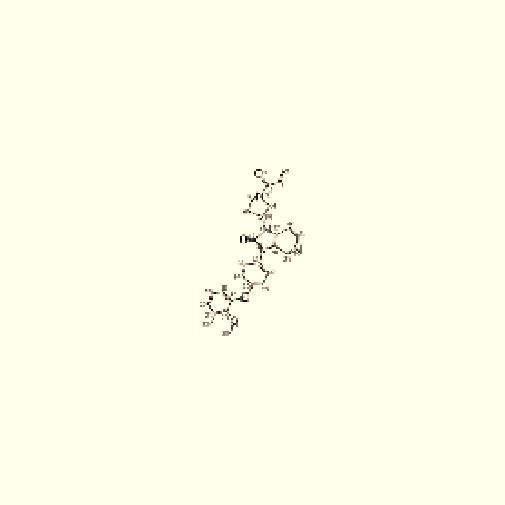 C=CC(=O)N1CC[C@@H](n2c(=O)n(-c3ccc(Oc4cccc(C)c4OC)cc3)c3cnccc32)C1